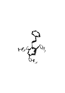 Cc1cc(C)c(C=Cc2ccccc2)c(C)c1